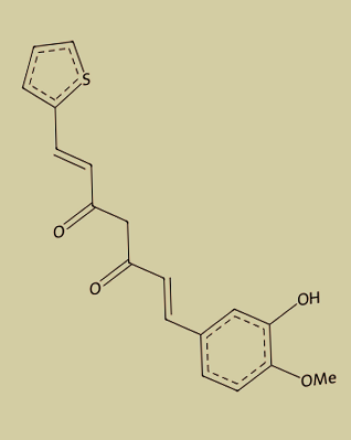 COc1ccc(C=CC(=O)CC(=O)C=Cc2cccs2)cc1O